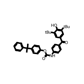 CC(C)(C)c1cc(C(=O)c2ccc(NC(=O)Oc3ccc(C(C)(C)c4ccccc4)cc3)cc2)cc(C(C)(C)C)c1O